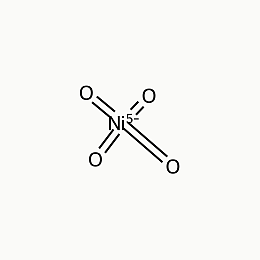 [O]=[Ni-5](=[O])(=[O])=[O]